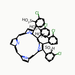 O=S(=O)(O)c1c(Cl)cccc1C1=CC2=CC3=NC(=CC4=NC(=CC5=NC(=C(c6cccc(Cl)c6S(=O)(=O)O)C1=N2)C(c1cccc(Cl)c1S(=O)(=O)O)=C5c1cccc(Cl)c1S(=O)(=O)O)C=C4)C=C3